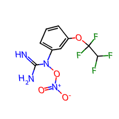 N=C(N)N(O[N+](=O)[O-])c1cccc(OC(F)(F)C(F)F)c1